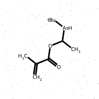 C=C(C)C(=O)OC(C)[AsH]C(C)(C)C